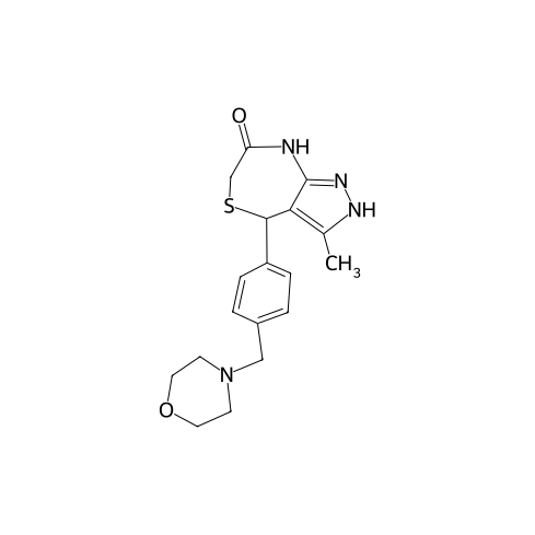 Cc1[nH]nc2c1C(c1ccc(CN3CCOCC3)cc1)SCC(=O)N2